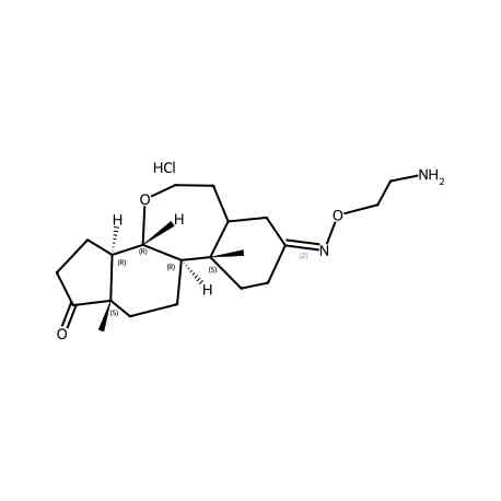 C[C@]12CC/C(=N/OCCN)CC1CCO[C@@H]1[C@@H]2CC[C@]2(C)C(=O)CC[C@@H]12.Cl